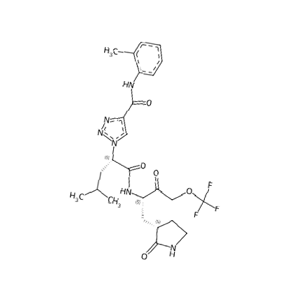 Cc1ccccc1NC(=O)c1cn([C@@H](CC(C)C)C(=O)N[C@@H](C[C@@H]2CCNC2=O)C(=O)COC(F)(F)F)nn1